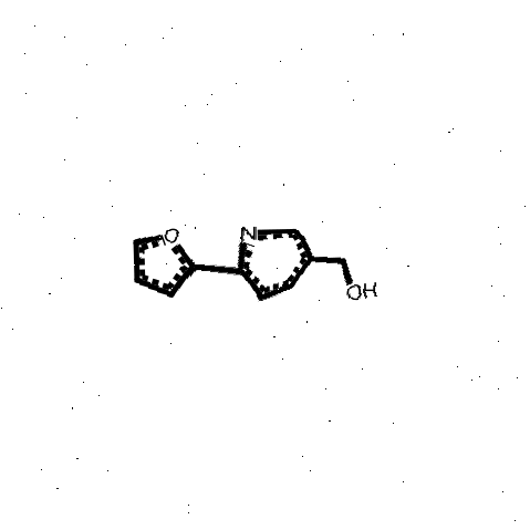 OCc1ccc(-c2ccco2)nc1